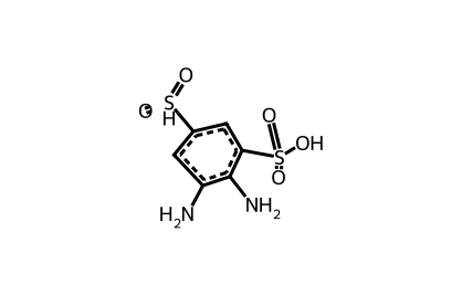 Nc1cc([SH](=O)=O)cc(S(=O)(=O)O)c1N